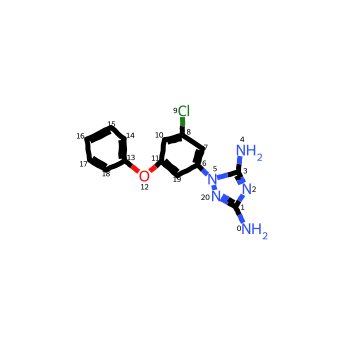 Nc1nc(N)n(-c2cc(Cl)cc(Oc3ccccc3)c2)n1